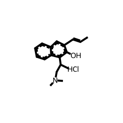 CC=Cc1cc2ccccc2c(C(C)CN(C)C)c1O.Cl